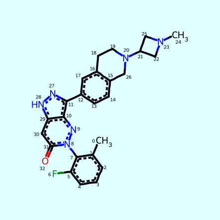 Cc1cccc(F)c1-n1nc2c(-c3ccc4c(c3)CCN(C3CN(C)C3)C4)n[nH]c2cc1=O